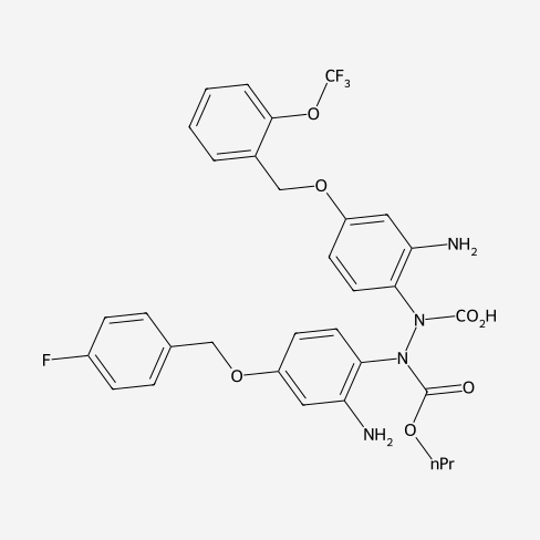 CCCOC(=O)N(c1ccc(OCc2ccc(F)cc2)cc1N)N(C(=O)O)c1ccc(OCc2ccccc2OC(F)(F)F)cc1N